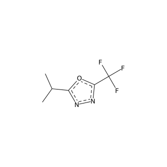 CC(C)c1nnc(C(F)(F)F)o1